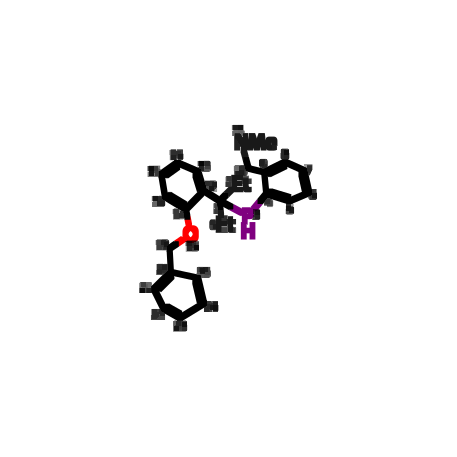 CCC(CC)(Pc1ccccc1CNC)c1ccccc1OCc1ccccc1